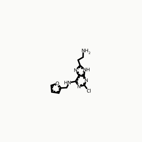 NCCc1nc2c(NCc3ccco3)nc(Cl)nc2[nH]1